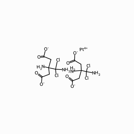 NC(Cl)(Cl)C(N)(CC(=O)[O-])CC(=O)[O-].NC(Cl)(Cl)C(N)(CC(=O)[O-])CC(=O)[O-].[Pt+4]